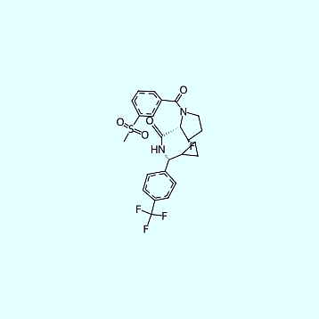 CS(=O)(=O)c1cccc(C(=O)N2CC[C@@H](F)[C@@H]2C(=O)N[C@@H](c2ccc(C(F)(F)F)cc2)C2CC2)c1